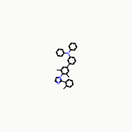 Cc1ccccc1-c1nccn1-c1c(C)cc(-c2cccc(N(c3ccccc3)c3ccccc3)c2)cc1C